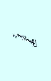 CCN(CC)CCNCCNCCN